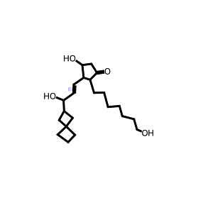 O=C1CC(O)C(/C=C/C(O)C2CC3(CCC3)C2)C1CCCCCCCO